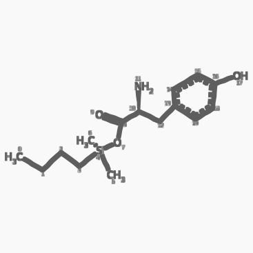 CCCC[Si](C)(C)OC(=O)[C@@H](N)Cc1ccc(O)cc1